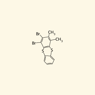 Cc1c(C)c2c(c(Br)c1Br)Sc1ccccc1S2